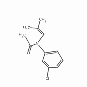 CC(=O)N(C=C(C)C)c1cccc(Cl)c1